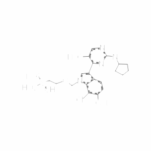 Cc1cnc(NC2CCCC2)nc1-c1cn(COCC[Si](C)(C)C)c2c(Cl)c(O)ccc12